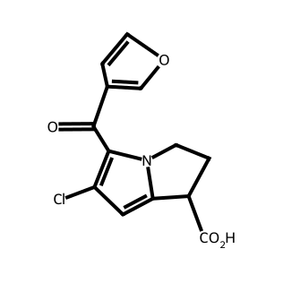 O=C(c1ccoc1)c1c(Cl)cc2n1CCC2C(=O)O